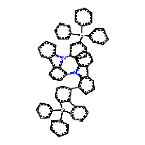 c1ccc([Si](c2ccccc2)(c2ccccc2)c2cccc(-n3c4ccccc4c4cccc(-n5c6ccccc6c6cccc(-c7cccc8c7-c7ccccc7[Si]8(c7ccccc7)c7ccccc7)c65)c43)c2)cc1